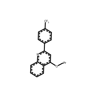 CC(C)Oc1cc(-c2ccc(C(F)(F)F)cc2)nc2ccccc12